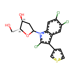 OC[C@H]1OC(n2c(Cl)c(-c3ccsc3)c3cc(Cl)c(Cl)cc32)C[C@@H]1O